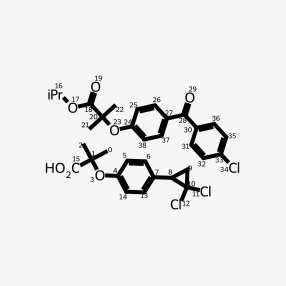 CC(C)(Oc1ccc(C2CC2(Cl)Cl)cc1)C(=O)O.CC(C)OC(=O)C(C)(C)Oc1ccc(C(=O)c2ccc(Cl)cc2)cc1